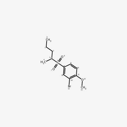 CCCN(C)S(=O)(=O)c1ccc(OC)c(Br)c1